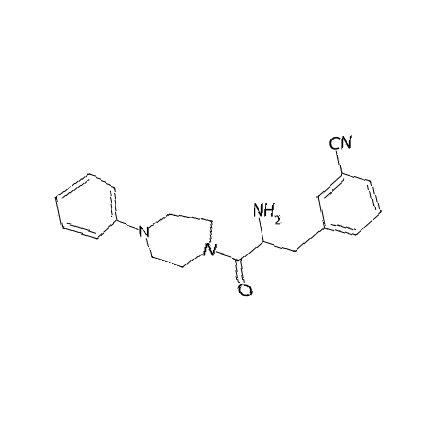 N#Cc1cccc(CC(N)C(=O)N2CCN(c3ccccc3)CC2)c1